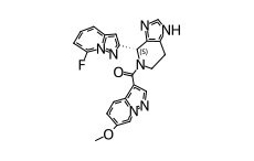 COc1ccc2c(C(=O)N3CCc4[nH]cnc4[C@H]3c3cc4cccc(F)n4n3)cnn2c1